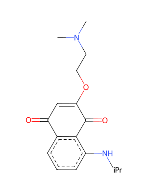 CC(C)Nc1cccc2c1C(=O)C(OCCN(C)C)=CC2=O